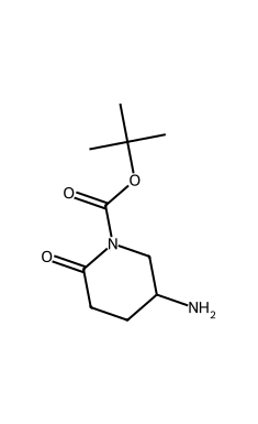 CC(C)(C)OC(=O)N1CC(N)CCC1=O